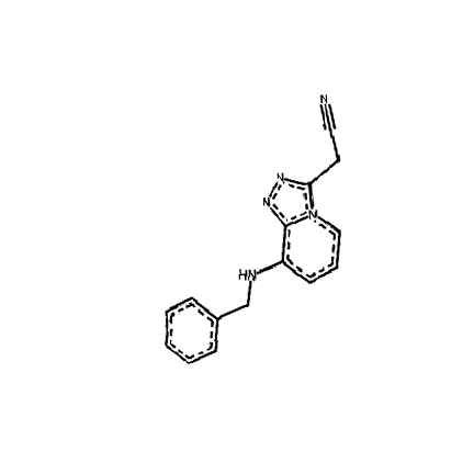 N#CCc1nnc2c(NCc3ccccc3)cccn12